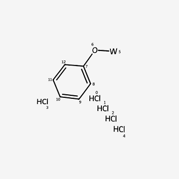 Cl.Cl.Cl.Cl.Cl.[W][O]c1ccccc1